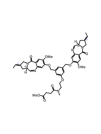 C/C=C1\C[C@H]2C=Nc3cc(OCc4cc(COc5cc6c(cc5OC)C(=O)N5C/C(=C/C)C[C@H]5C=N6)cc(OCCN(C)C(=O)CCC(=O)OC)c4)c(OC)cc3C(=O)N2C1